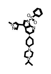 CC(C)N1CCN([C@H]2CC[C@@H](c3cnc4c(c3)c(-c3cnn(C)c3)cn4S(=O)(=O)c3ccccc3)CC2)CC1